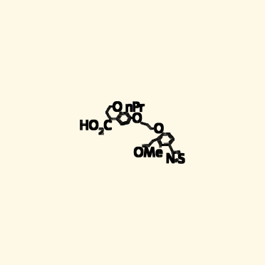 C=CCc1c(OCCCOc2ccc3c(c2CCC)OCCC3C(=O)O)ccc(-c2cscn2)c1OC